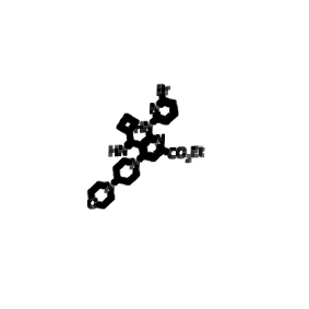 CCOC(=O)c1cc(N2CCC(N3CCOCC3)CC2)c(C(=N)C2CCC2)c(Nc2cccc(Br)n2)n1